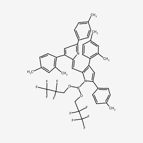 Cc1ccc(C2=N/C(=C\c3c(-c4ccc(C)cc4C)cc(-c4ccc(C)cc4)n3B(OCC(F)(F)C(F)(F)F)OCC(F)(F)C(F)(F)F)C(c3ccc(C)cc3C)=C2)cc1